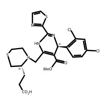 COC(=O)C1=C(CN2CCSC[C@H]2CCC(=O)O)NC(c2nccs2)=N[C@H]1c1ccc(Cl)cc1Cl